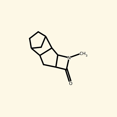 CN1C(=O)C2CC3C4CCC(C4)C3C21